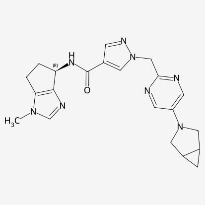 Cn1cnc2c1CC[C@H]2NC(=O)c1cnn(Cc2ncc(N3CC4CC4C3)cn2)c1